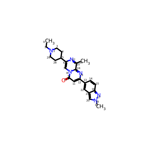 CCN1CCC(c2cn3c(=O)cc(-c4ccc5nn(C)cc5c4)nc3c(C)n2)CC1